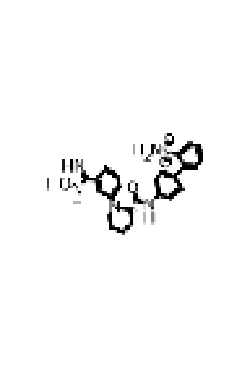 N=C(NO)c1cccc(N2CCCC[C@H]2C(=O)Nc2ccc(-c3ccccc3S(N)(=O)=O)cc2)c1